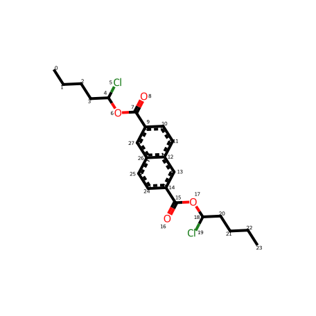 CCCCC(Cl)OC(=O)c1ccc2cc(C(=O)OC(Cl)CCCC)ccc2c1